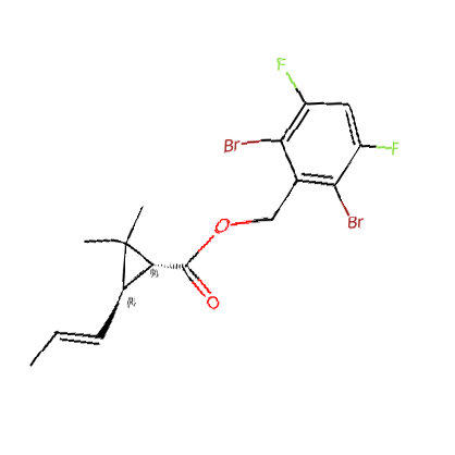 CC=C[C@@H]1[C@@H](C(=O)OCc2c(Br)c(F)cc(F)c2Br)C1(C)C